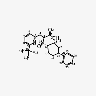 CC(=O)C(Cc1cccc(C(F)(F)F)n1)C(=O)[C@H]1CC[C@H](c2ccccc2)CC1